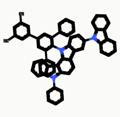 N#Cc1cc(C#N)cc(-c2cc(-c3ccccc3)c(-n3c4ccc(-n5c6ccccc6c6ccccc65)cc4c4ccc5c(c6ccccc6n5-c5ccccc5)c43)c(-c3ccccc3)c2)c1